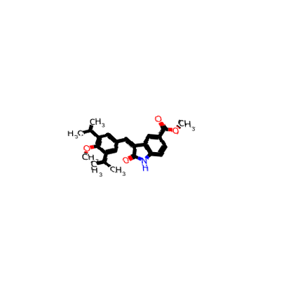 COC(=O)c1ccc2c(c1)/C(=C/c1cc(C(C)C)c(OC)c(C(C)C)c1)C(=O)N2